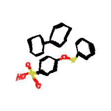 O=S(=O)(O)c1ccc(OSc2ccccc2)cc1.c1ccc(-c2ccccc2)cc1